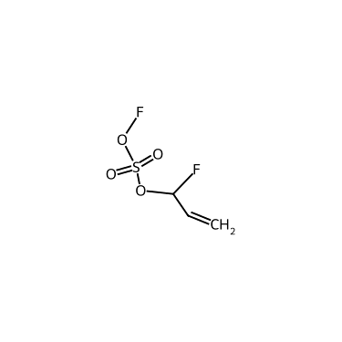 C=CC(F)OS(=O)(=O)OF